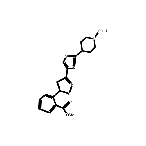 COC(=O)c1ccccc1C1CC(c2csc(C3CCN(C(=O)O)CC3)n2)=NO1